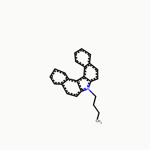 CCCCn1c2ccc3ccccc3c2c2c3ccccc3ccc21